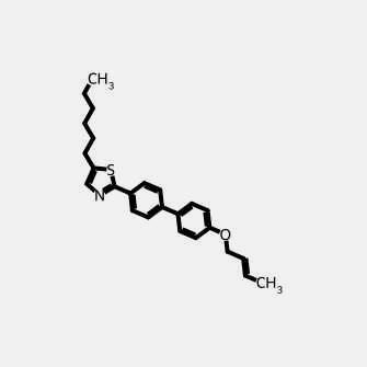 CC=CCOc1ccc(-c2ccc(-c3ncc(CCCCCC)s3)cc2)cc1